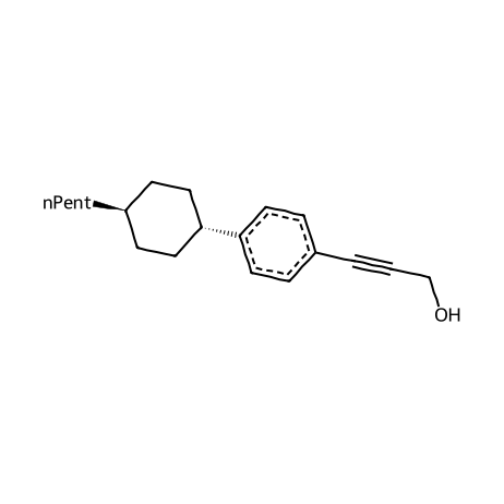 CCCCC[C@H]1CC[C@H](c2ccc(C#CCO)cc2)CC1